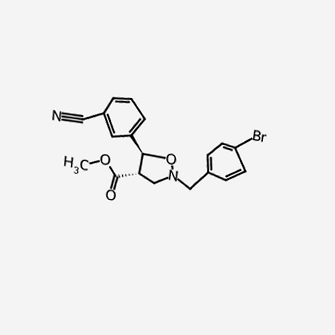 COC(=O)[C@H]1CN(Cc2ccc(Br)cc2)O[C@@H]1c1cccc(C#N)c1